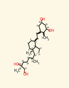 C=C1/C(=C\C=C2CCC[C@@]3(C)C2CC[C@@H]3[C@H](C)CCC[C@](C)(O)CO)C[C@@H](O)CC1O